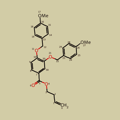 C=CCCOC(=O)c1ccc(OCc2ccc(OC)cc2)c(OCc2ccc(OC)cc2)c1